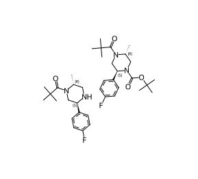 C[C@@H]1CN(C(=O)OC(C)(C)C)[C@@H](c2ccc(F)cc2)CN1C(=O)C(C)(C)C.C[C@@H]1CN[C@@H](c2ccc(F)cc2)CN1C(=O)C(C)(C)C